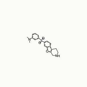 CN(C)c1cccc(S(=O)(=O)c2ccc3c4c(oc3c2)CNCC4)c1